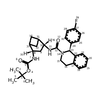 CC(C)(C)OC(=O)N[C@H]1C[C@@H](NC(=O)N2CCc3ccccc3[C@@H]2c2ccc(F)cc2)C2CC1C2